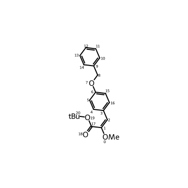 COC(=Cc1ccc(OCc2ccccc2)cc1)C(=O)OC(C)(C)C